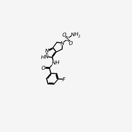 NS(=O)(=O)N1Cc2n[nH]c(NC(=O)c3cccc(F)c3)c2C1